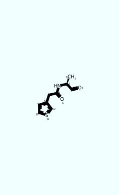 C[C@@H]([C]=O)NC(=O)Cc1ccsc1